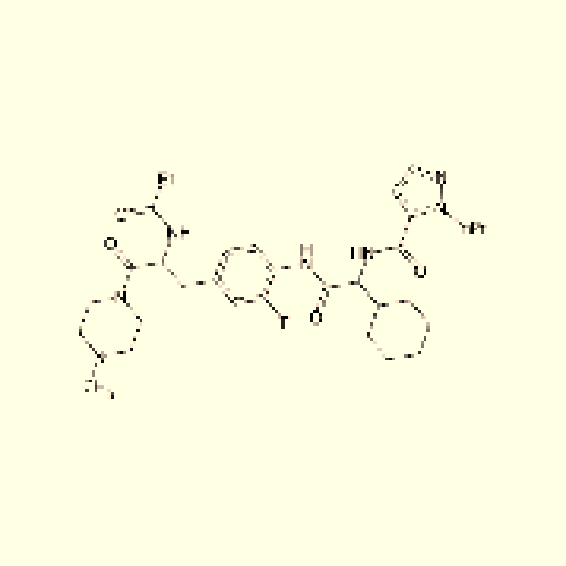 CCCn1nccc1C(=O)NC(C(=O)Nc1ccc(CC(NC(=O)CC)C(=O)N2CCN(C)CC2)cc1F)C1CCCCC1